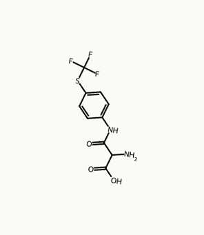 NC(C(=O)O)C(=O)Nc1ccc(SC(F)(F)F)cc1